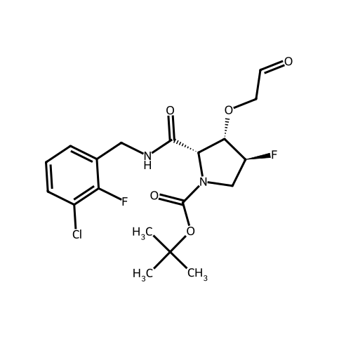 CC(C)(C)OC(=O)N1C[C@H](F)[C@@H](OCC=O)[C@H]1C(=O)NCc1cccc(Cl)c1F